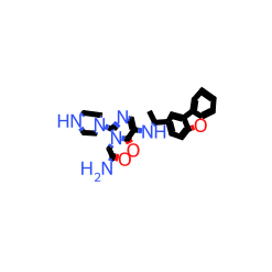 CC(Nc1cnc(N2CCNCC2)n(CC(N)=O)c1=O)c1ccc2oc3ccccc3c2c1